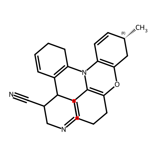 C[C@H]1C=CC2=C(C1)OC1=C(C=CCC1)N2C1=C(C2CC=NCC2C#N)C=CCC1